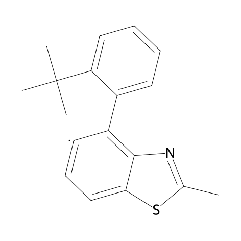 Cc1nc2c(-c3ccccc3C(C)(C)C)[c]ccc2s1